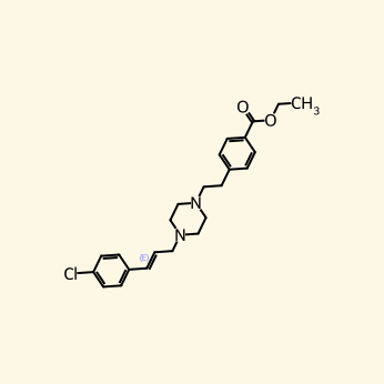 CCOC(=O)c1ccc(CCN2CCN(C/C=C/c3ccc(Cl)cc3)CC2)cc1